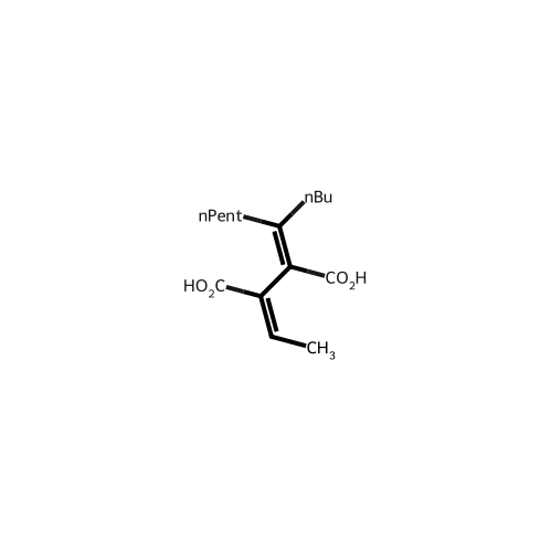 CC=C(C(=O)O)C(C(=O)O)=C(CCCC)CCCCC